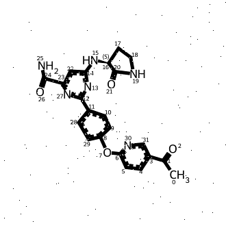 CC(=O)c1ccc(Oc2ccc(-c3nc(N[C@H]4CCNC4=O)cc(C(N)=O)n3)cc2)nc1